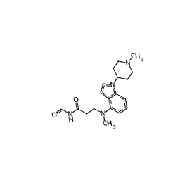 CN1CCC(n2ccc3c(N(C)CCC(=O)NC=O)cccc32)CC1